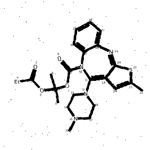 CCC(=O)OC(C)(C)OC(=O)N1C(N2CCN(C)CC2)=c2cc(C)sc2=Nc2ccccc21